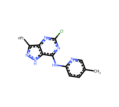 CCCc1n[nH]c2c(Nc3ccc(C)cn3)nc(Cl)nc12